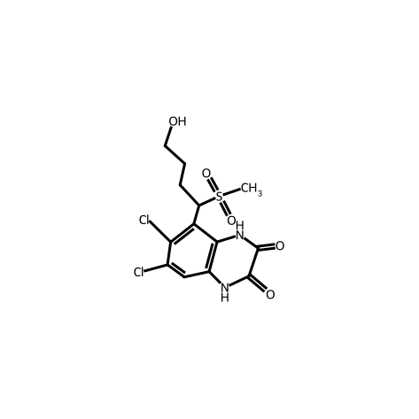 CS(=O)(=O)C(CCCO)c1c(Cl)c(Cl)cc2[nH]c(=O)c(=O)[nH]c12